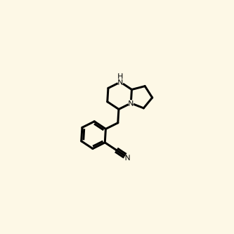 N#Cc1ccccc1CC1CCNC2CCCN12